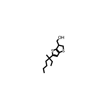 CCCCC(C)(CC)c1cc2c(s1)C(CO)CS2